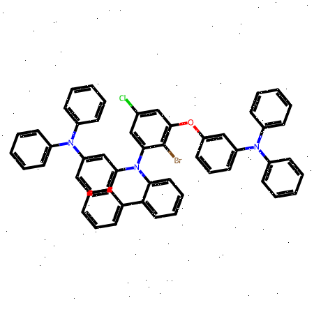 Clc1cc(Oc2cccc(N(c3ccccc3)c3ccccc3)c2)c(Br)c(N(c2cccc(N(c3ccccc3)c3ccccc3)c2)c2ccccc2-c2ccccc2)c1